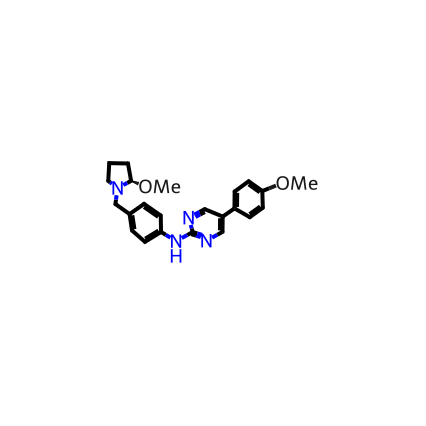 COc1ccc(-c2cnc(Nc3ccc(CN4CCC[C@H]4OC)cc3)nc2)cc1